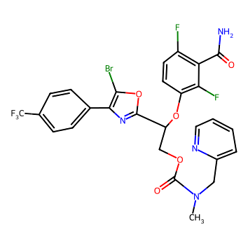 CN(Cc1ccccn1)C(=O)OCC(Oc1ccc(F)c(C(N)=O)c1F)c1nc(-c2ccc(C(F)(F)F)cc2)c(Br)o1